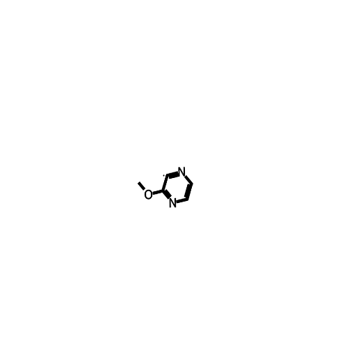 COc1[c]nccn1